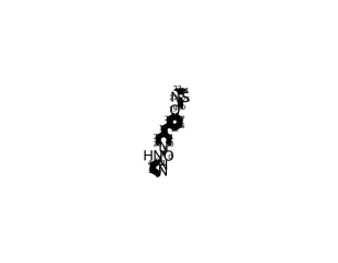 O=C(Nc1cccnn1)N1CCC(=Cc2cccc(OCc3nccs3)c2)CC1